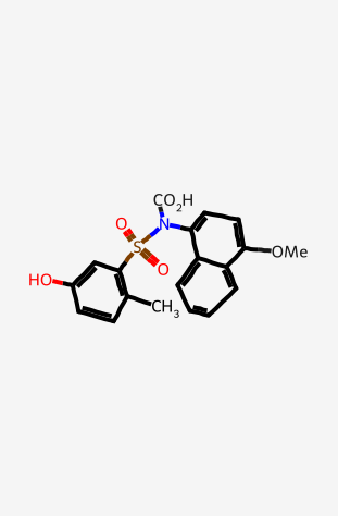 COc1ccc(N(C(=O)O)S(=O)(=O)c2cc(O)ccc2C)c2ccccc12